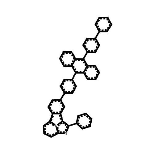 c1ccc(-c2ccc(-c3c4ccccc4c(-c4ccc(-c5ccc6c(c5)c5c(-c7ccccc7)nc7cccc6n75)cc4)c4ccccc34)cc2)cc1